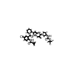 Cc1cn2nc([C@@H]3CCCCN3C(=O)c3cc(Cl)ccc3NC(=O)C3CC3)cc2nc1N1CC[C@H](NC(=O)OC(C)(C)C)C1